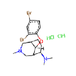 CN1CC2CC[C@@H](N(C)C)C(C1)[C@@H]2Oc1ccc(Br)cc1Br.Cl.Cl